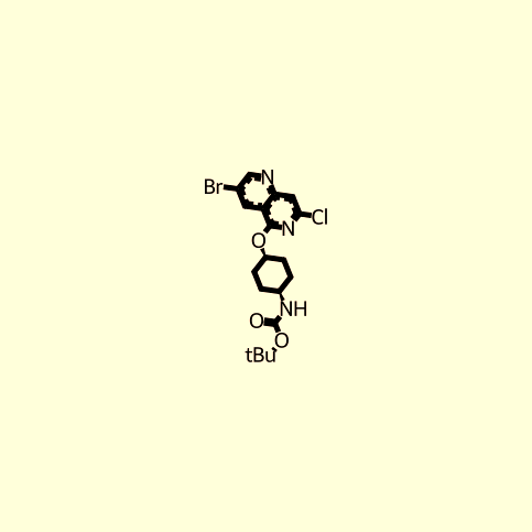 CC(C)(C)OC(=O)N[C@H]1CC[C@@H](Oc2nc(Cl)cc3ncc(Br)cc23)CC1